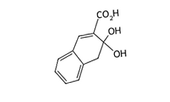 O=C(O)C1=Cc2ccccc2CC1(O)O